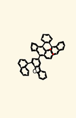 c1ccc(-c2c3ccccc3c(-c3cc(-c4cccc5ccccc45)c4oc5ccccc5c4c3)c3ccccc23)c(-c2cccc3ccccc23)c1